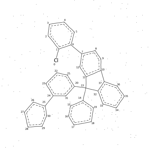 Clc1ccccc1-c1ccc2c(c1)C(c1ccccc1)(c1cccc(-c3ccccc3)c1)c1ccccc1-2